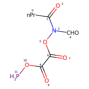 CCCC(=O)N(C=O)OC(=O)C(=O)OP